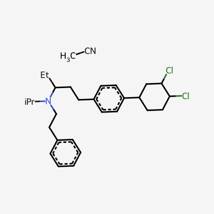 CC#N.CCC(CCc1ccc(C2CCC(Cl)C(Cl)C2)cc1)N(CCc1ccccc1)C(C)C